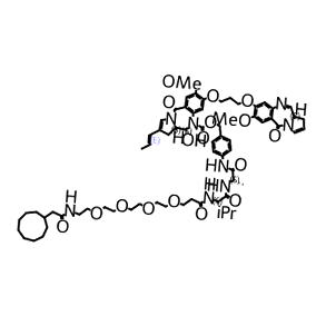 C/C=C/C1=CN2C(=O)c3cc(OC)c(OCCCOc4cc5c(cc4OC)C(=O)N4C=CC[C@H]4C=N5)cc3N(C(=O)OCc3ccc(NC(=O)[C@H](C)NC(=O)[C@@H](NC(=O)CCOCCOCCOCCOCCNC(=O)CC4CCCCCCCC4)C(C)C)cc3)[C@@H](O)[C@@H]2C1